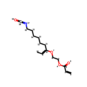 C=CC(=O)OCCOC(=CC)CCCCCCN=C=O